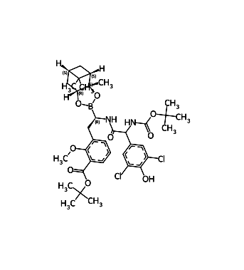 COc1c(C[C@H](NC(=O)C(NC(=O)OC(C)(C)C)c2cc(Cl)c(O)c(Cl)c2)B2O[C@@H]3C[C@@H]4C[C@@H](C4(C)C)[C@]3(C)O2)cccc1C(=O)OC(C)(C)C